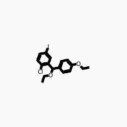 CCOc1ccc(C(OCC)c2cc(I)ccc2Cl)cc1